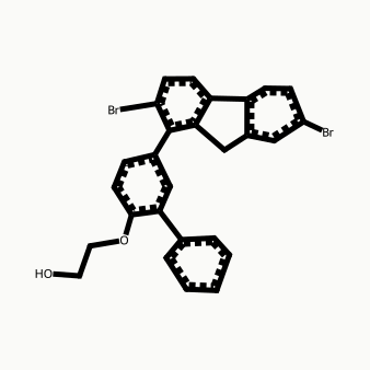 OCCOc1ccc(-c2c(Br)ccc3c2Cc2cc(Br)ccc2-3)cc1-c1ccccc1